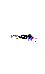 CC(C)CSCC[C@H]1CCc2cc([C@H]3CC[C@H](CO)C3N)ccc2C1